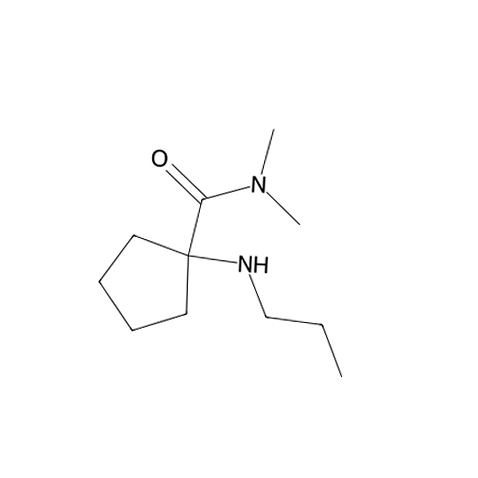 CCCNC1(C(=O)N(C)C)CCCC1